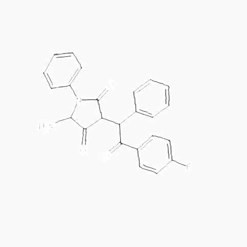 CC1C(=O)C(C(C(=O)c2ccc(F)cc2)c2ccccc2)C(=O)N1c1ccccc1